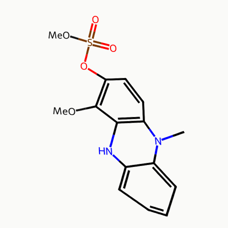 COc1c(OS(=O)(=O)OC)ccc2c1Nc1ccccc1N2C